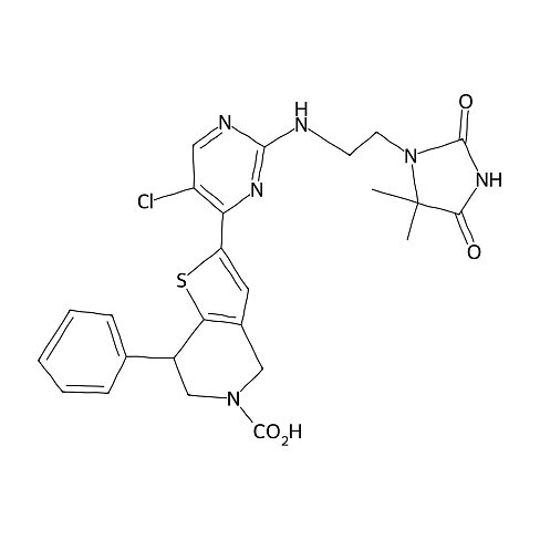 CC1(C)C(=O)NC(=O)N1CCNc1ncc(Cl)c(-c2cc3c(s2)C(c2ccccc2)CN(C(=O)O)C3)n1